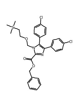 C[Si](C)(C)CCOCn1c(C(=O)OCc2ccccc2)nc(-c2ccc(Cl)cc2)c1-c1ccc(Cl)cc1